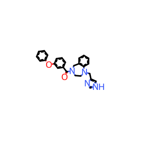 O=C(c1cccc(Oc2ccccc2)c1)N1CCN(Cc2c[nH]cn2)c2ccccc2C1